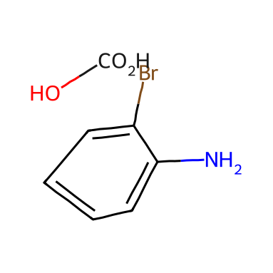 Nc1ccccc1Br.O=C(O)O